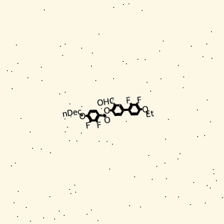 CCCCCCCCCCOc1ccc(C(=O)Oc2ccc(-c3ccc(OCC)c(F)c3F)cc2C=O)c(F)c1F